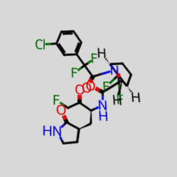 O=C1NCC[C@@H]1C[C@H](NC(=O)[C@H]1[C@@H]2CC[C@@H](CC2(F)F)N1C(=O)C(F)(F)c1cccc(Cl)c1)C(=O)CF